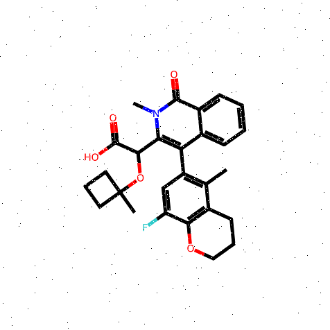 Cc1c(-c2c(C(OC3(C)CCC3)C(=O)O)n(C)c(=O)c3ccccc23)cc(F)c2c1CCCO2